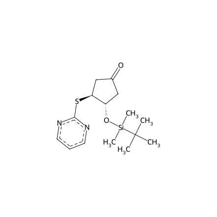 CC(C)(C)[Si](C)(C)O[C@H]1CC(=O)C[C@@H]1Sc1ncccn1